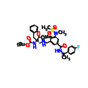 COC(=O)[C@](CNCc1cc(C(=O)N[C@H](C)c2ccc(F)cc2)cc(N(C)S(C)(=O)=O)c1)(Cc1ccccc1)NC(=O)OC(C)(C)C